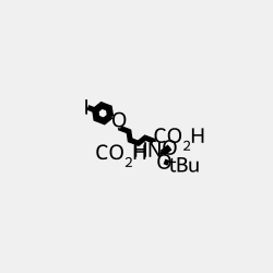 CC(C)(C)OC(=O)N[C@@H](C[C@H](CCCOc1ccc(I)cc1)C(=O)O)C(=O)O